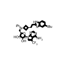 CC(C)N(C[C@H]1O[C@@H](n2cc(C(F)(F)F)c3c(N)ncnc32)[C@H](O)[C@@H]1O)[C@H]1C[C@H](CCc2nc3cc(C(C)(C)C)ccc3[nH]2)C1